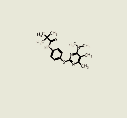 Cc1nc(Sc2ccc(NC(=S)C(C)(C)C)cc2)nc(N(C)C)c1C